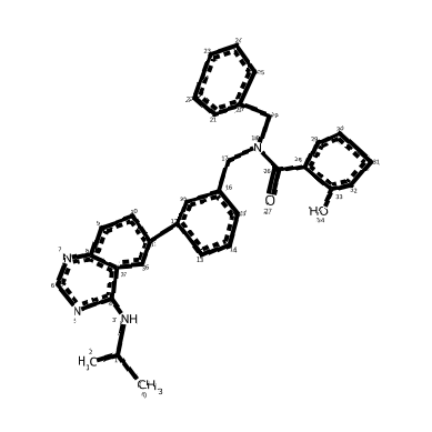 CC(C)Nc1ncnc2ccc(-c3cccc(CN(Cc4ccccc4)C(=O)c4ccccc4O)c3)cc12